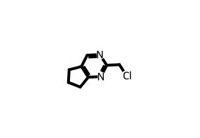 ClCc1ncc2c(n1)CCC2